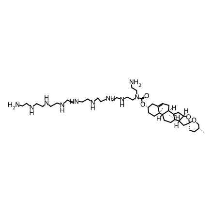 C[C@@H]1CC[C@@]2(C[C@H]3[C@H](C[C@H]4[C@@H]5CC=C6C[C@@H](OC(=O)N(CCN)CCNCCNCCNCCNCCNCCNCCNCCN)CC[C@]6(C)[C@H]5CC[C@@]43C)O2)OC1